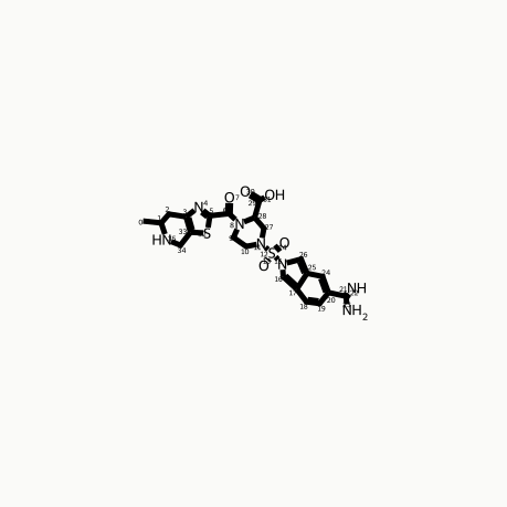 CC1Cc2nc(C(=O)N3CCN(S(=O)(=O)n4cc5ccc(C(=N)N)cc5c4)CC3C(=O)O)sc2CN1